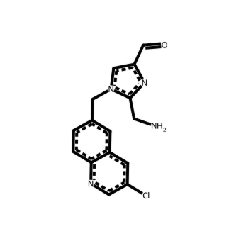 NCc1nc(C=O)cn1Cc1ccc2ncc(Cl)cc2c1